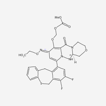 COC(=O)OCOc1c2n(c(-c3cc(F)c(F)c4c3Cc3ccccc3SC4)c/c1=N\OCC(=O)O)N[C@@H]1COCCN1C2=O